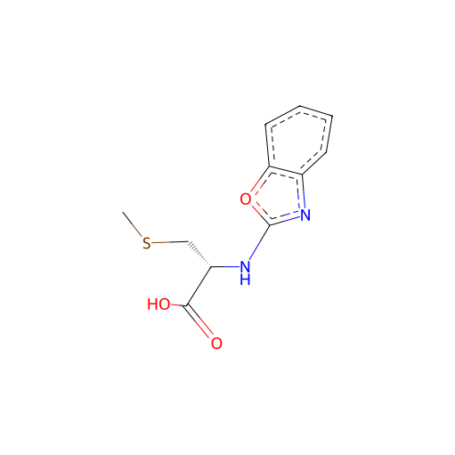 CSC[C@H](Nc1nc2ccccc2o1)C(=O)O